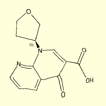 O=C(O)c1cn([C@H]2CCOC2)c2ncccc2c1=O